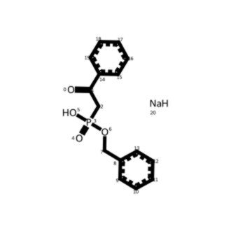 O=C(CP(=O)(O)OCc1ccccc1)c1ccccc1.[NaH]